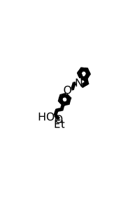 CCOC(O)CCc1ccc(OCCn2ccc3ccccc32)cc1